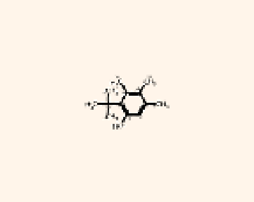 Cc1cc(O)c(C(C)(C)C)c(C)c1C